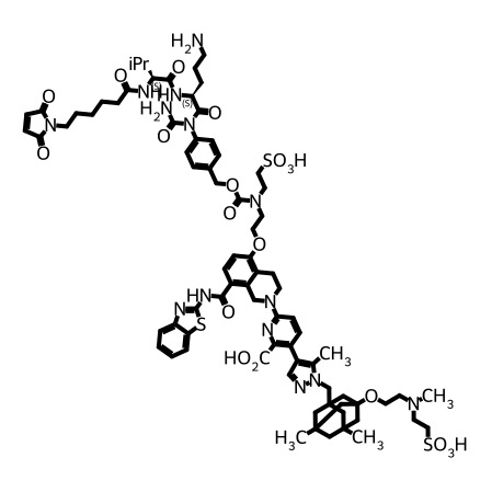 Cc1c(-c2ccc(N3CCc4c(OCCN(CCS(=O)(=O)O)C(=O)OCc5ccc(N(C(N)=O)C(=O)[C@H](CCCN)NC(=O)[C@@H](NC(=O)CCCCCN6C(=O)C=CC6=O)C(C)C)cc5)ccc(C(=O)Nc5nc6ccccc6s5)c4C3)nc2C(=O)O)cnn1CC12CC3(C)CC(C)(C1)CC(OCCN(C)CCS(=O)(=O)O)(C3)C2